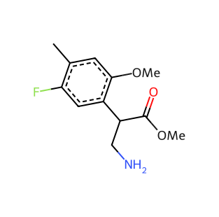 COC(=O)C(CN)c1cc(F)c(C)cc1OC